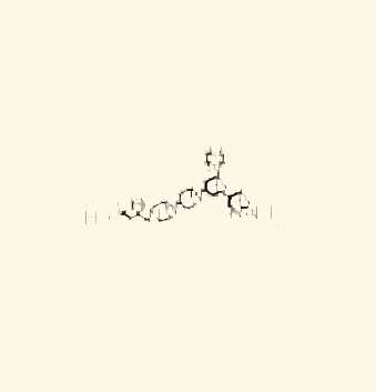 CC(C)=CC(=O)CN1CCN(C2CCN(c3cc(-c4cnc(N)nc4)nc(N4CCOCC4)c3)CC2)CC1